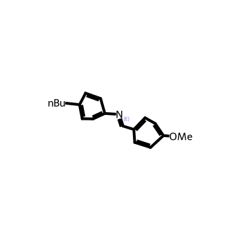 CCCCc1ccc(/N=C/c2ccc(OC)cc2)cc1